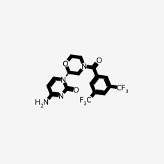 Nc1ccn([C@H]2CN(C(=O)c3cc(C(F)(F)F)cc(C(F)(F)F)c3)CCO2)c(=O)n1